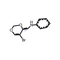 BrC1=COCO/C1=C\Nc1ccccc1